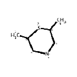 CC1C[N]CC(C)S1